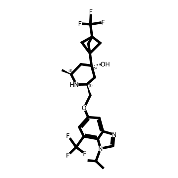 CC(C)n1cnc2cc(OC[C@@H]3C[C@](O)(C45CC(C(F)(F)F)(C4)C5)C[C@H](C)N3)cc(C(F)(F)F)c21